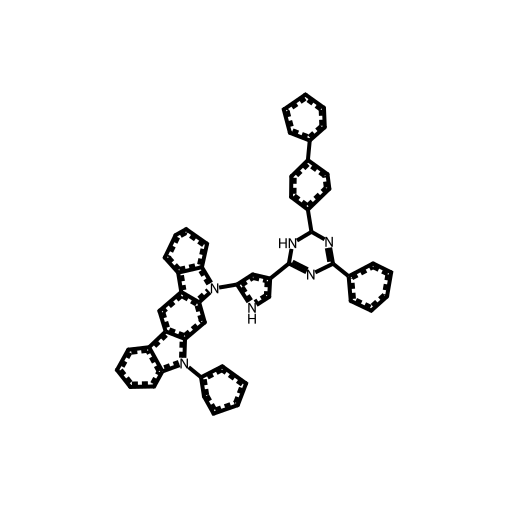 c1ccc(C2=NC(c3ccc(-c4ccccc4)cc3)NC(c3c[nH]c(-n4c5ccccc5c5cc6c7ccccc7n(-c7ccccc7)c6cc54)c3)=N2)cc1